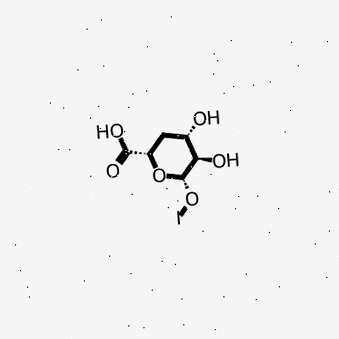 O=C(O)[C@@H]1C[C@H](O)[C@@H](O)[C@H](OI)O1